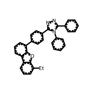 CCc1cccc2c1oc1c(-c3ccc(-c4nnc(-c5ccccc5)n4-c4ccccc4)cc3)cccc12